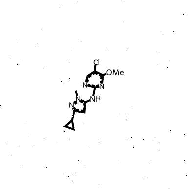 COc1nc(Nc2cc(C3CC3)nn2C)ncc1Cl